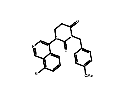 COc1ccc(CN2C(=O)CCN(c3cncc4c(Br)cccc34)C2=O)cc1